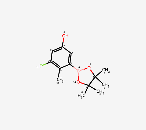 CC1(C)OB(c2cc(O)cc(F)c2C(F)(F)F)OC1(C)C